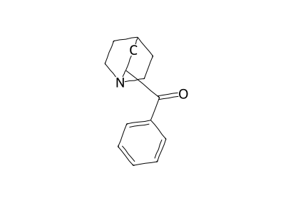 O=C(c1ccccc1)C1CC2CCN1CC2